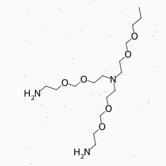 CCCOCOCCN(CCOCOCCN)CCOCOCCN